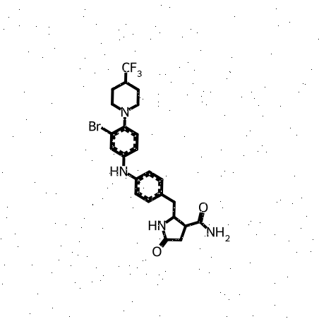 NC(=O)C1CC(=O)NC1Cc1ccc(Nc2ccc(N3CCC(C(F)(F)F)CC3)c(Br)c2)cc1